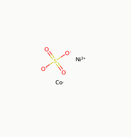 O=S(=O)([O-])[O-].[Co].[Ni+2]